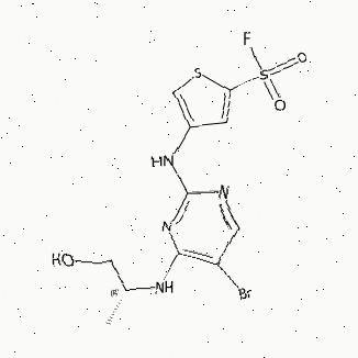 C[C@H](CO)Nc1nc(Nc2csc(S(=O)(=O)F)c2)ncc1Br